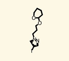 Ic1cnn(CCCOC2CCCCO2)c1